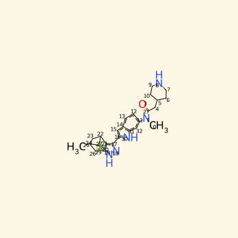 CN(C(=O)CC1CCNCC1)c1ccc2cc(-c3n[nH]c4c3C3C[C@@](C)(C4)C3(F)F)[nH]c2c1